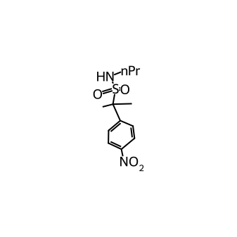 CCCNS(=O)(=O)C(C)(C)c1ccc([N+](=O)[O-])cc1